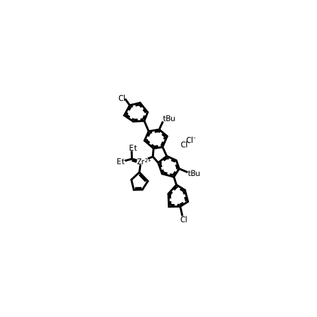 CC[C](CC)=[Zr+2]([C]1=CC=CC1)[CH]1c2cc(-c3ccc(Cl)cc3)c(C(C)(C)C)cc2-c2cc(C(C)(C)C)c(-c3ccc(Cl)cc3)cc21.[Cl-].[Cl-]